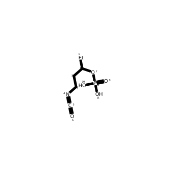 CCC(CCN=C=O)OP(=O)(O)O